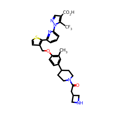 Cc1cc(C2CCN(C(=O)CC3CNC3)CC2)ccc1OCc1ccsc1-c1cccc(-n2ncc(C(=O)O)c2C(F)(F)F)n1